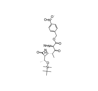 CC(C(=O)C(=[N+]=[N-])C(=O)OCc1ccc([N+](=O)[O-])cc1)[C@H]1NC(=O)[C@@H]1[C@@H](C)O[Si](C)(C)C(C)(C)C